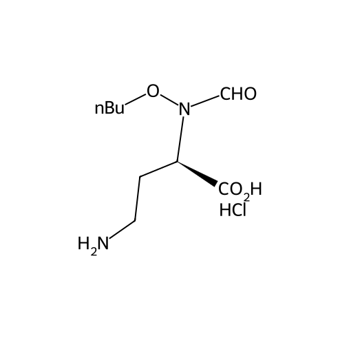 CCCCON(C=O)[C@H](CCN)C(=O)O.Cl